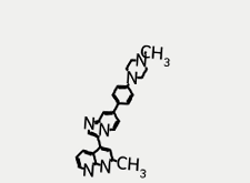 Cc1cc(-c2cnc3cc(-c4ccc(N5CCN(C)CC5)cc4)ccn23)c2cccnc2n1